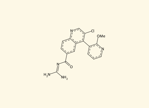 COc1ncccc1-c1c(Cl)cnc2ccc(C(=O)N=C(N)N)cc12